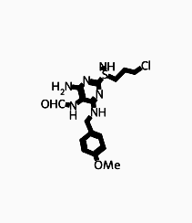 COc1ccc(CNc2nc(S(=N)CCCCl)nc(N)c2NC=O)cc1